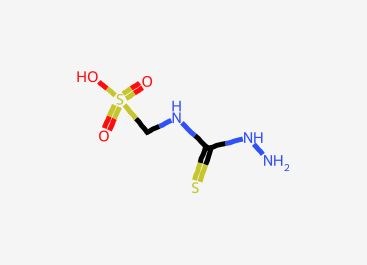 NNC(=S)NCS(=O)(=O)O